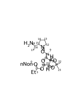 CCCCCCCCCOC(CC)O[C@H]1O[C@H]([C@@H](C)ON2CCCC2C(C)N)[C@@H]2OC(C)(C)O[C@H]12